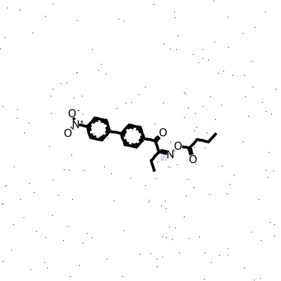 CCCC(=O)O/N=C(/CC)C(=O)c1ccc(-c2ccc([N+](=O)[O-])cc2)cc1